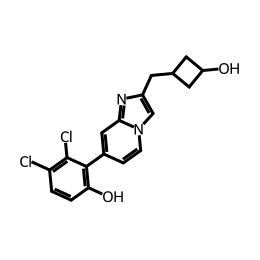 Oc1ccc(Cl)c(Cl)c1-c1ccn2cc(CC3CC(O)C3)nc2c1